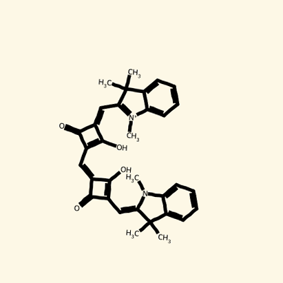 CN1C(=CC2=C(O)C(=CC3=C(O)C(=CC4=[N+](C)c5ccccc5C4(C)C)C3=O)C2=O)C(C)(C)c2ccccc21